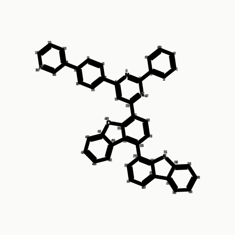 c1ccc(-c2nc(-c3ccc(-c4cccnc4)cc3)cc(-c3ccc(-c4cccc5c4sc4ccccc45)c4c3oc3ccccc34)n2)cc1